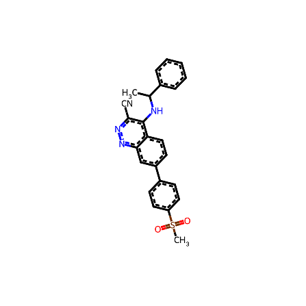 CC(Nc1c(C#N)nnc2cc(-c3ccc(S(C)(=O)=O)cc3)ccc12)c1ccccc1